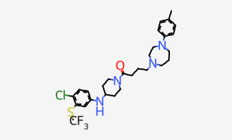 Cc1ccc(N2CCCN(CCCC(=O)N3CCC(Nc4ccc(Cl)c(SC(F)(F)F)c4)CC3)CC2)cc1